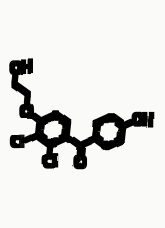 O=C(c1ccc(O)cc1)c1ccc(OCCO)c(Cl)c1Cl